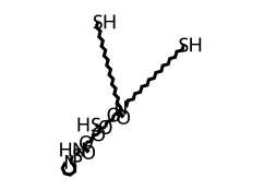 O=C(NSCN1CCCCCC1)OCCOC(S)OCCOC(=O)N(CCCCCCCCCCCCCCCCCS)CCCCCCCCCCCCCCCCCS